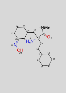 CNC(=O)[C@@](N)(CCC1CCCCC1)C[C@@H]1CCC/C(=N/O)C1